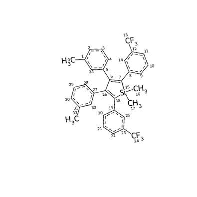 Cc1cccc(C2=C(c3cccc(C(F)(F)F)c3)[Si](C)(C)C(c3cccc(C(F)(F)F)c3)=C2c2cccc(C)c2)c1